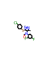 Cc1nn(C)c(Sc2ccc(Cl)cc2)c1N(C=O)c1ccc(F)cc1F